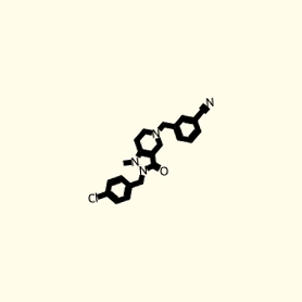 Cn1c2c(c(=O)n1Cc1ccc(Cl)cc1)CN(Cc1cccc(C#N)c1)CC2